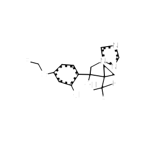 OC(Cn1cncn1)(c1ccc(OCF)cc1Cl)C1(C(F)(F)F)CC1